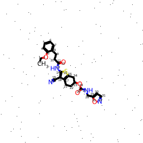 CCOc1ccccc1CCC(=O)Nc1sc2c(c1C#N)CCC(OC(=O)NCc1ccno1)C2